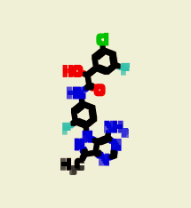 Cc1nn(-c2ccc(NC(=O)C(O)c3cc(F)cc(Cl)c3)cc2F)c2c(N)ncnc12